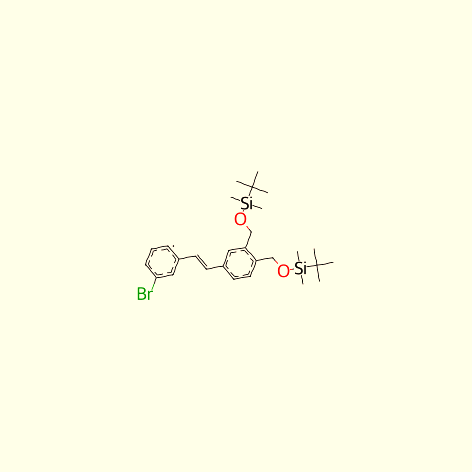 CC(C)(C)[Si](C)(C)OCc1ccc(C=Cc2[c]ccc(Br)c2)cc1CO[Si](C)(C)C(C)(C)C